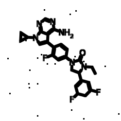 CCN1C(=O)N(c2ccc(-c3cn(C4CC4)c4ncnc(N)c34)c(F)c2)CC1C1=CC(F)CC(F)=C1